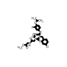 COC(=O)CNC(=O)Cn1c(=O)[nH]/c(=N\c2ccc(OC(C)C)c(F)c2)n(Cc2ccc(Cl)cc2)c1=O